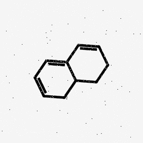 [C]1C=CC=C2C=CCCC12